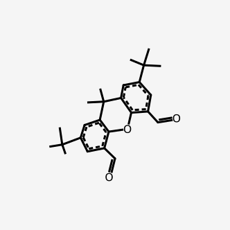 CC(C)(C)c1cc(C=O)c2c(c1)C(C)(C)c1cc(C(C)(C)C)cc(C=O)c1O2